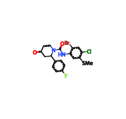 CSc1cc(NC(=O)N2C=CC(=O)CC2c2ccc(F)cc2)c(Br)cc1Cl